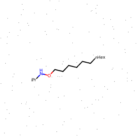 CCCCCCCCCCCCONC(C)C